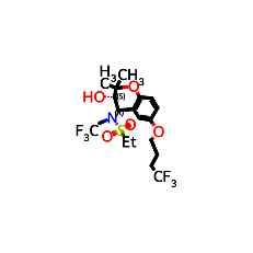 CCS(=O)(=O)N(CC(F)(F)F)[C@@H]1c2cc(OCCCC(F)(F)F)ccc2OC(C)(C)[C@H]1O